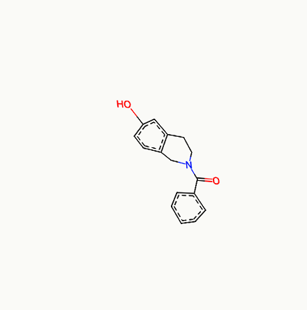 O=C(c1ccccc1)N1CCc2cc(O)ccc2C1